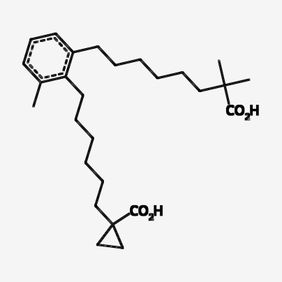 Cc1cccc(CCCCCCC(C)(C)C(=O)O)c1CCCCCCC1(C(=O)O)CC1